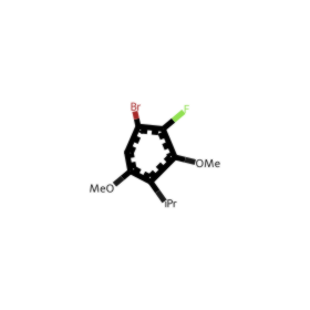 COc1cc(Br)c(F)c(OC)c1C(C)C